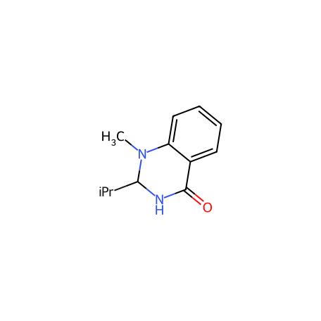 CC(C)C1NC(=O)c2ccccc2N1C